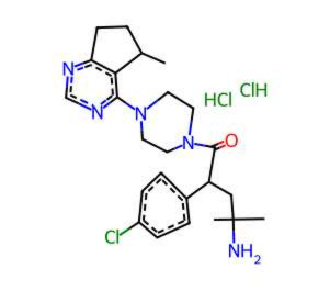 CC1CCc2ncnc(N3CCN(C(=O)C(CC(C)(C)N)c4ccc(Cl)cc4)CC3)c21.Cl.Cl